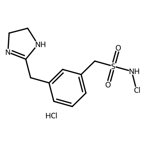 Cl.O=S(=O)(Cc1cccc(CC2=NCCN2)c1)NCl